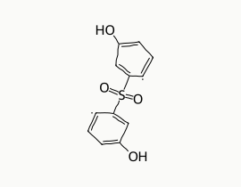 O=S(=O)(c1[c]ccc(O)c1)c1[c]ccc(O)c1